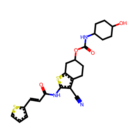 N#Cc1c(NC(=O)C=Cc2cccs2)sc2c1CCC(OC(=O)NC1CCC(O)CC1)C2